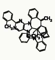 C=C1c2ccccc2N2c3nc(-c4ccccc4C)ncc3N(C)C2C2(CC)C3N(c4ccccc4)c4ccccc4N3c3ccc4cc3C12C4